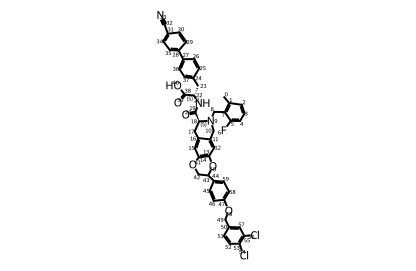 Cc1cccc(F)c1CN1Cc2cc3c(cc2C[C@H]1C(=O)N[C@@H](Cc1ccc(-c2ccc(C#N)cc2)cc1)C(=O)O)OCC(c1ccc(OCc2ccc(Cl)c(Cl)c2)cc1)O3